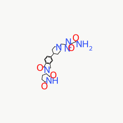 NC(=O)c1nc(CN2CCC(c3ccc4c(c3)CN(C3CCC(=O)NC3=O)C4=O)CC2)no1